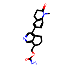 CN1C(=O)CCc2cc(-c3cncc4c3CCCC4COC(N)=O)ccc21